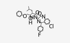 CC(C)C[C@@H](C(=O)NC1N=C(c2ccc(F)cc2)c2cc(Cl)ccc2N(C)C1=O)[C@H](O)COc1ccccc1